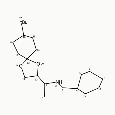 CC(NCC1CCCCC1)C1COC2(CCC(C(C)(C)C)CC2)O1